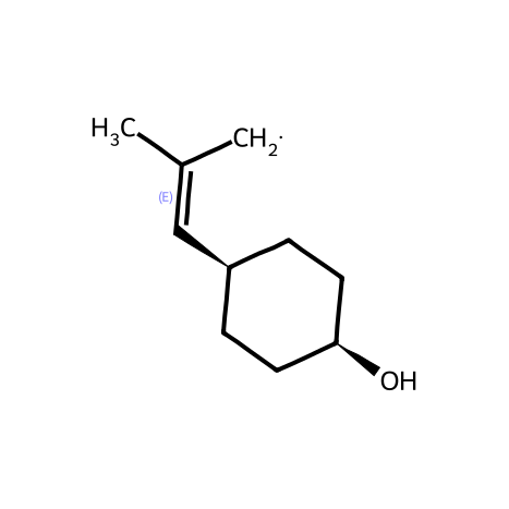 [CH2]/C(C)=C\[C@H]1CC[C@@H](O)CC1